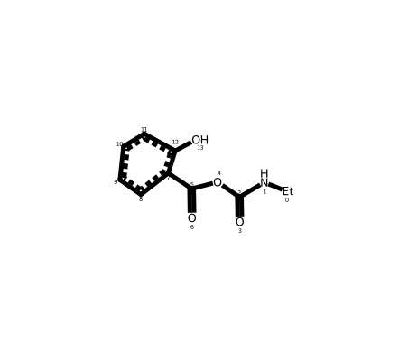 CCNC(=O)OC(=O)c1ccccc1O